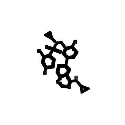 O=S(=O)(c1ccc(Cl)cc1Cl)N(Cc1cc(-c2ccc3ncnc(NC4CC4)c3c2)ccc1Cl)C1CC1